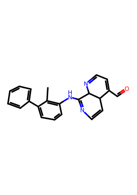 Cc1c(NC2=NC=CC3C(C=O)=CC=NC23)cccc1-c1ccccc1